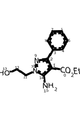 CCOC(=O)c1c(-c2ccccc2)nn(CCO)c1N